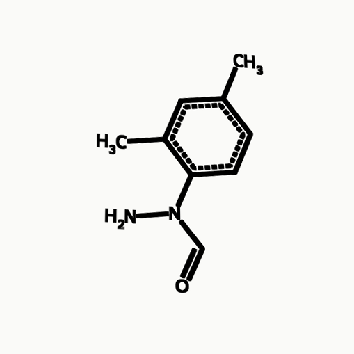 Cc1ccc(N(N)C=O)c(C)c1